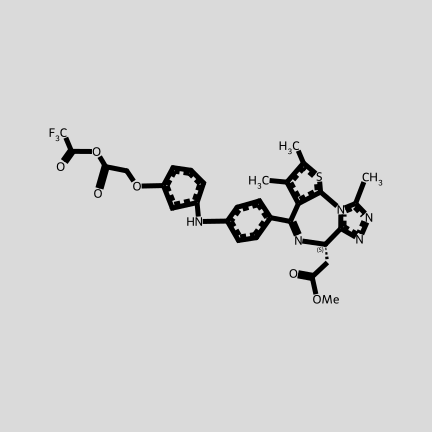 COC(=O)C[C@@H]1N=C(c2ccc(Nc3cccc(OCC(=O)OC(=O)C(F)(F)F)c3)cc2)c2c(sc(C)c2C)-n2c(C)nnc21